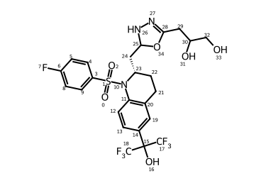 O=S(=O)(c1ccc(F)cc1)N1c2ccc(C(O)(C(F)(F)F)C(F)(F)F)cc2CC[C@H]1CC1NN=C(CC(O)CO)O1